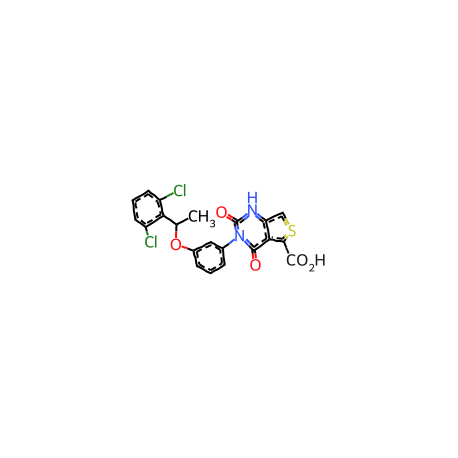 CC(Oc1cccc(-n2c(=O)[nH]c3csc(C(=O)O)c3c2=O)c1)c1c(Cl)cccc1Cl